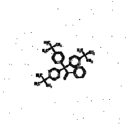 CC(C)(C)c1ccc([Si](C(=O)c2ccccc2)(c2ccc(C(C)(C)C)cc2)c2ccc(C(C)(C)C)cc2)cc1